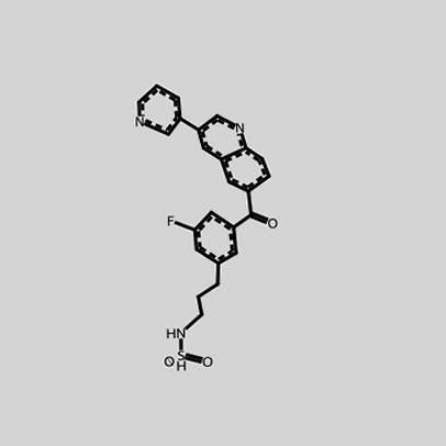 O=C(c1cc(F)cc(CCCN[SH](=O)=O)c1)c1ccc2ncc(-c3cccnc3)cc2c1